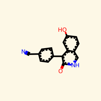 N#Cc1ccc(-c2c(=O)[nH]cc3ccc(O)cc23)cc1